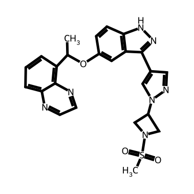 CC(Oc1ccc2[nH]nc(-c3cnn(C4CN(S(C)(=O)=O)C4)c3)c2c1)c1cccc2nccnc12